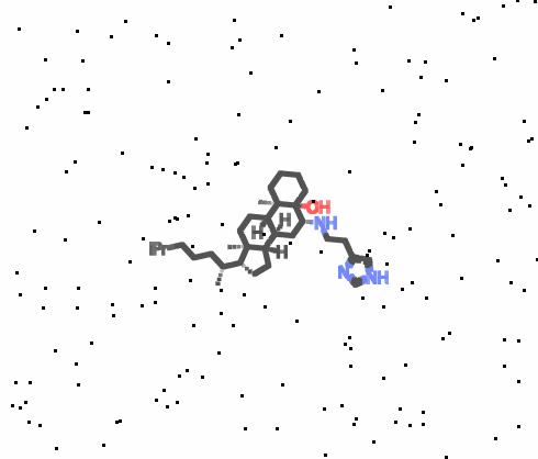 CC(C)CCC[C@@H](C)[C@H]1CC[C@H]2[C@@H]3C[C@@H](NCCc4c[nH]cn4)[C@@]4(O)CCCC[C@]4(C)[C@H]3CC[C@]12C